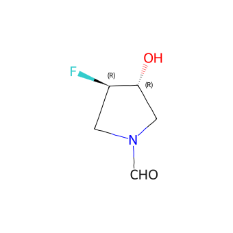 O=CN1C[C@@H](O)[C@H](F)C1